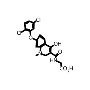 CN1CC(C(=O)NCC(=O)O)=C(O)c2ccc(Oc3cc(Cl)ccc3Cl)cc21